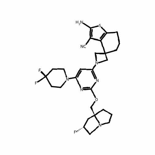 N#Cc1c(N)sc2c1C1(CCC2)CN(c2cc(N3CCC(F)(F)CC3)nc(OC[C@@]34CCCN3C[C@H](F)C4)n2)C1